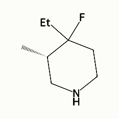 CCC1(F)CCNC[C@@H]1C